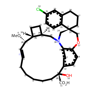 CO[C@H]1/C=C/CCCCC[C@](O)(C(=O)O)c2ccc3c(c2)N(C[C@@H]2CC[C@H]21)C[C@@]1(CCCc2cc(Cl)ccc21)CO3